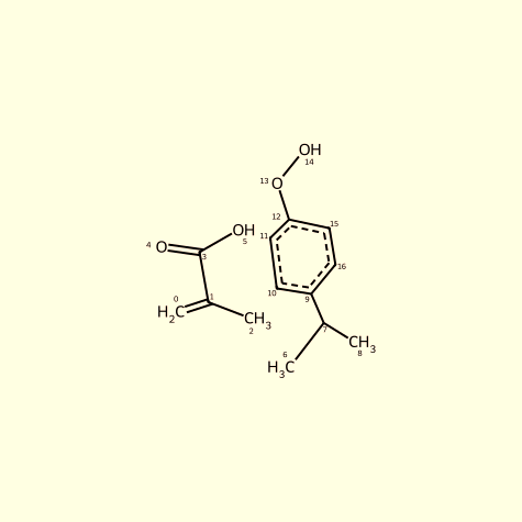 C=C(C)C(=O)O.CC(C)c1ccc(OO)cc1